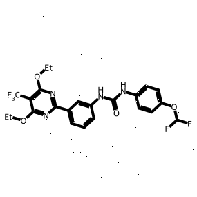 CCOc1nc(-c2cccc(NC(=O)Nc3ccc(OC(F)F)cc3)c2)nc(OCC)c1C(F)(F)F